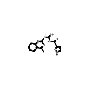 Cc1nc(NC(=N)NC(=O)c2cc[nH]n2)nc2ccccc12